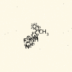 CC1=C(c2ccc(NC(=O)c3c(F)cncc3F)nc2)C2CCCC2C1